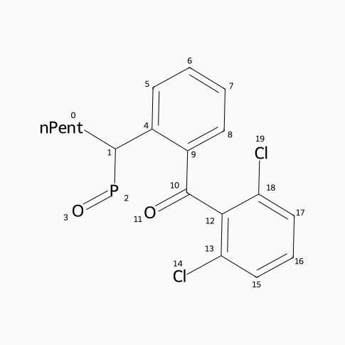 CCCCCC(P=O)c1ccccc1C(=O)c1c(Cl)cccc1Cl